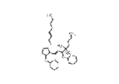 CCCCC(C)(C)C(C=C[C@H]1C(OC2CCCCO2)CC[C@@H]1CCC=CCCCO)OC1CCCCO1